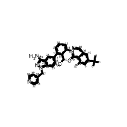 CC(C)(C)c1cc(F)c2c(=O)n(-c3cccc(-c4ccc5c(c4)c(N)nn5Cc4ccncc4)c3CO)ncc2c1